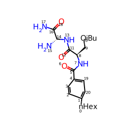 CCCCCCc1ccc(C(=O)N[C@H](COCC(C)C)C(=O)N[C@H](N)C(N)=O)cc1